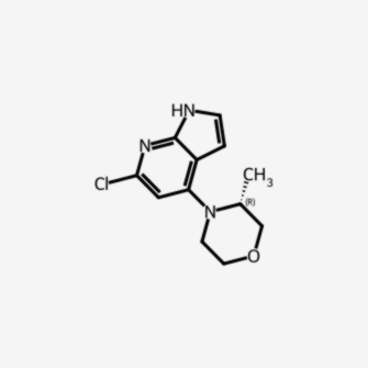 C[C@@H]1COCCN1c1cc(Cl)nc2[nH]ccc12